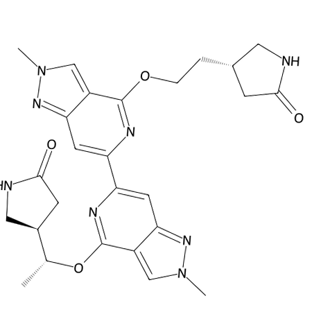 C[C@@H](Oc1nc(-c2cc3nn(C)cc3c(OCC[C@@H]3CNC(=O)C3)n2)cc2nn(C)cc12)[C@H]1CNC(=O)C1